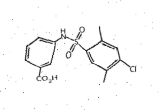 Cc1cc(S(=O)(=O)Nc2cccc(C(=O)O)c2)c(C)cc1Cl